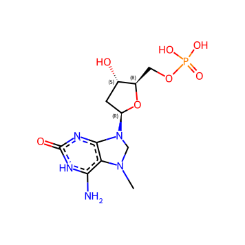 CN1CN([C@H]2C[C@H](O)[C@@H](COP(=O)(O)O)O2)c2nc(=O)[nH]c(N)c21